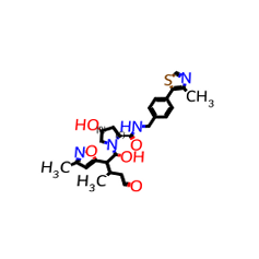 Cc1cc(C(C(C)CC=O)C(O)N2C[C@H](O)C[C@H]2C(=O)NCc2ccc(-c3scnc3C)cc2)on1